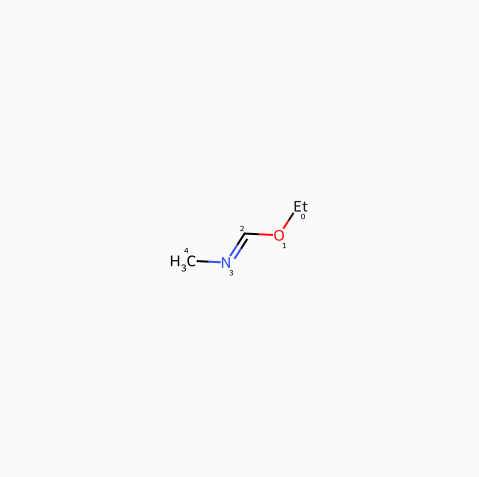 CCOC=NC